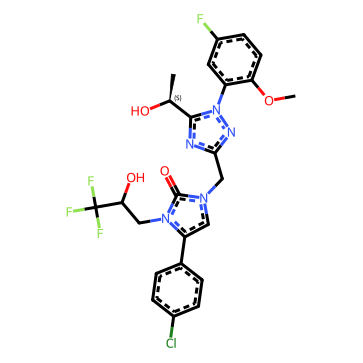 COc1ccc(F)cc1-n1nc(Cn2cc(-c3ccc(Cl)cc3)n(CC(O)C(F)(F)F)c2=O)nc1[C@H](C)O